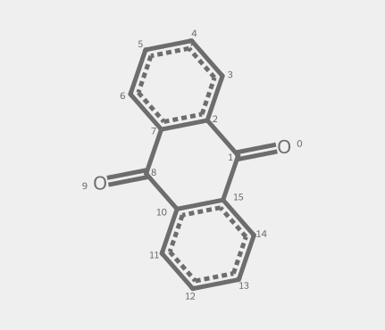 O=C1c2[c][c]ccc2C(=O)c2ccccc21